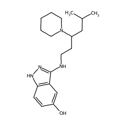 CC(C)CC(CCNc1n[nH]c2ccc(O)cc12)N1CCCCC1